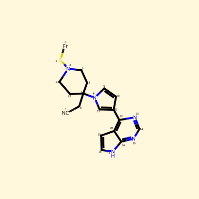 CCSN1CCC(CC#N)(n2ccc(-c3ncnc4[nH]ccc34)c2)CC1